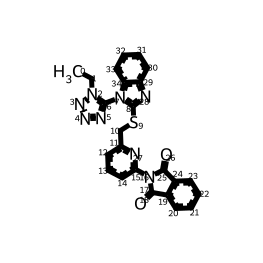 CCn1nnnc1-n1c(SCc2cccc(N3C(=O)c4ccccc4C3=O)n2)nc2ccccc21